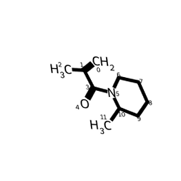 C=C(C)C(=O)N1CCCCC1C